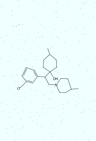 CC1CCN(CC(c2cccc(Cl)c2)C2(O)CCC(C)CC2)CC1